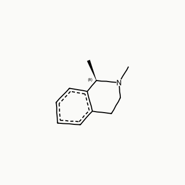 C[C@@H]1c2ccccc2CCN1C